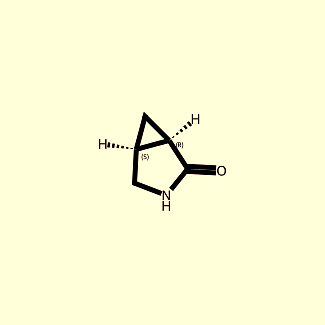 O=C1NC[C@H]2C[C@@H]12